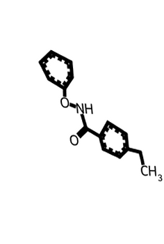 CCc1ccc(C(=O)NOc2ccccc2)cc1